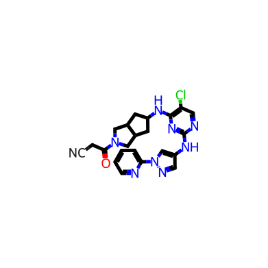 N#CCC(=O)N1CC2CC(Nc3nc(Nc4cnn(-c5ccccn5)c4)ncc3Cl)CC2C1